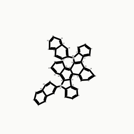 c1ccc2cc(-n3c4ccccc4c4c5c6ccccc6c6c7ccccc7n(-c7ccc8ccccc8c7)c6c5c5ccccc5c43)ccc2c1